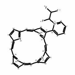 FC(F)C(F)[n+]1ccccc1C1=CC2=CC3=NC(=CC4=NC(=CC5=NC(=CC1=N2)C=C5)C=C4)C=C3